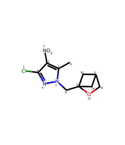 Cc1c([N+](=O)[O-])c(Cl)nn1CC12CC(CO1)C2